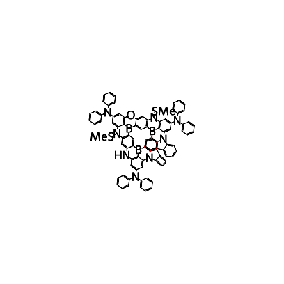 CSN1c2cc3c(cc2B2c4cc5c(cc4Oc4cc(N(c6ccccc6)c6ccccc6)cc1c42)N(SC)c1cc(N(c2ccccc2)c2ccccc2)cc2c1B5c1cccc4c5ccccc5n-2c14)B1c2c(cc(N(c4ccccc4)c4ccccc4)cc2-n2c4ccccc4c4cccc1c42)N3